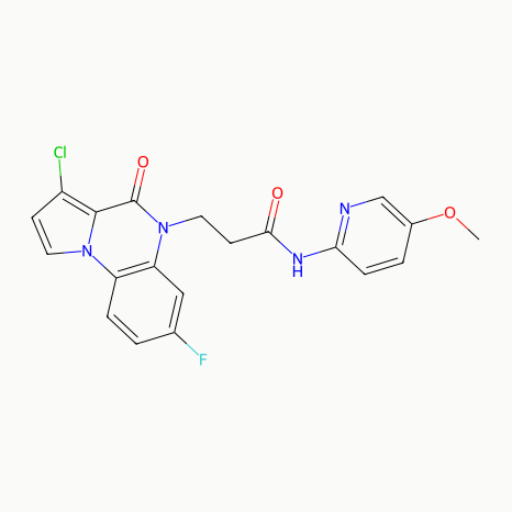 COc1ccc(NC(=O)CCn2c(=O)c3c(Cl)ccn3c3ccc(F)cc32)nc1